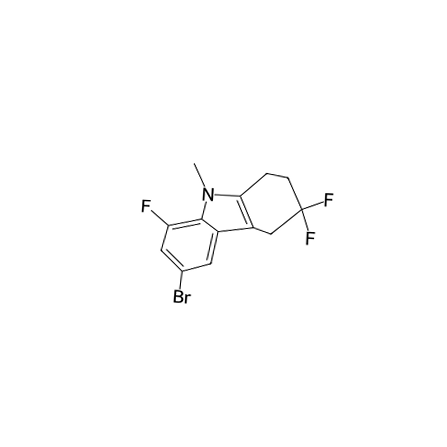 Cn1c2c(c3cc(Br)cc(F)c31)CC(F)(F)CC2